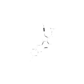 CC#Cc1oc2c(N[C@@H]3CCN(C)C[C@@H]3F)cccc2c1CC1CC1